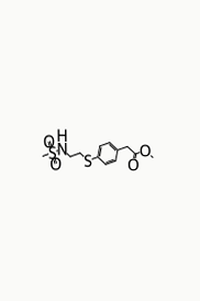 COC(=O)Cc1ccc(SCCNS(C)(=O)=O)cc1